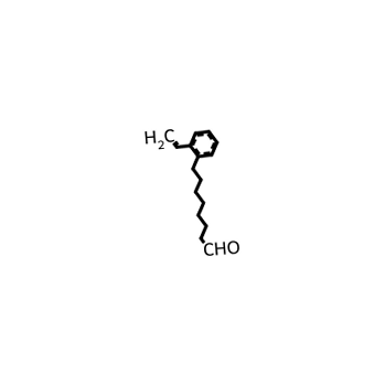 C=Cc1ccccc1CCCCCCCC=O